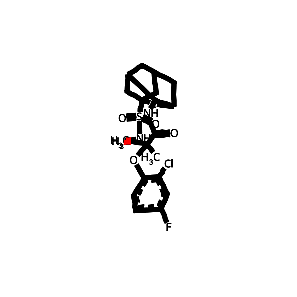 CNS(=O)(=O)C12CC3CC(C1)C(NC(=O)C(C)(C)Oc1ccc(F)cc1Cl)C(C3)C2